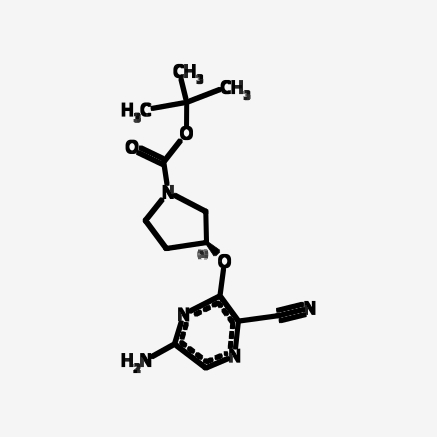 CC(C)(C)OC(=O)N1CC[C@H](Oc2nc(N)cnc2C#N)C1